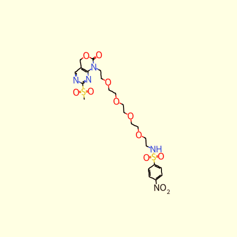 CS(=O)(=O)c1ncc2c(n1)N(CCOCCOCCOCCOCCNS(=O)(=O)c1ccc([N+](=O)[O-])cc1)C(=O)OC2